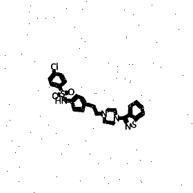 O=S(=O)(Nc1ccc(CCN2CCN(c3nsc4ccccc34)CC2)cc1)c1ccc(Cl)cc1